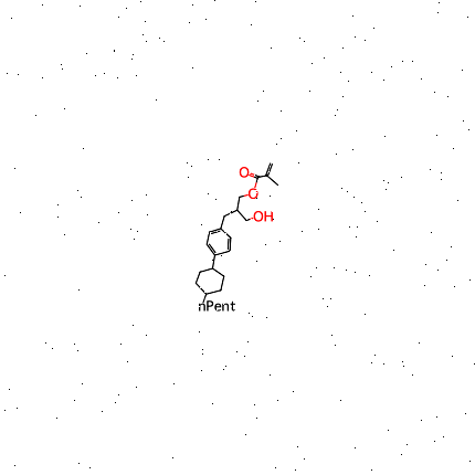 C=C(C)C(=O)OCC(CO)Cc1ccc(C2CCC(CCCCC)CC2)cc1